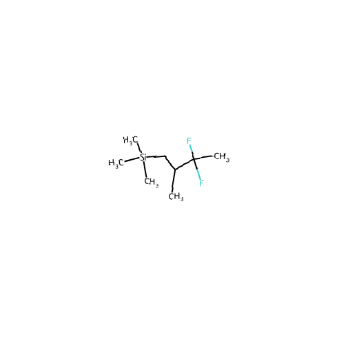 CC(C[Si](C)(C)C)C(C)(F)F